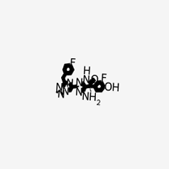 C[C@@]1(c2ccc(O)c(F)c2)C(=O)Nc2nc(-c3cn4ncnc4c(Cc4ccc(F)cc4)n3)nc(N)c21